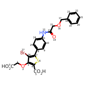 O=C(O)COc1c(C(=O)O)sc(-c2ccc(NC(=O)COCc3ccccc3)cc2)c1Br